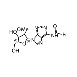 COC1C(O)[C@@H](CO)O[C@H]1n1cnc2c(NC(=O)C(C)C)ncnc21